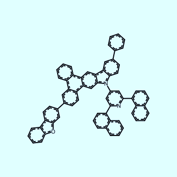 c1ccc(-c2ccc3c(c2)c2cc4c5ccccc5c5cc(-c6ccc7c(c6)oc6ccccc67)ccc5c4cc2n3-c2cc(-c3cccc4ccccc34)nc(-c3cccc4ccccc34)c2)cc1